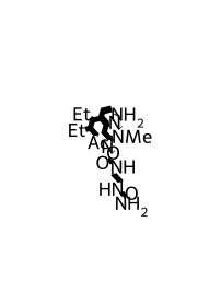 C=C/C(=C(/C/C(=N/OC(=O)NCCNC(N)=O)NC)N(C)N)C(CC)C(CC)CC(C)=O